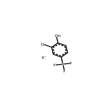 Oc1ccc([B-](F)(F)F)cc1Cl.[K+]